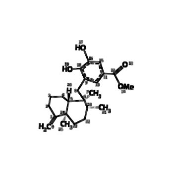 C=C1CCC[C@@H]2[C@@](C)(Cc3cc(C(=O)OC)cc(O)c3O)[C@H](C)CC[C@@]12C